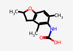 Cc1cc2c(c(C)c1NC(=O)O)CC(C)O2